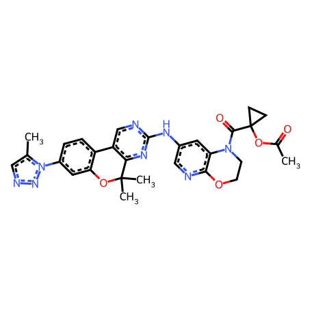 CC(=O)OC1(C(=O)N2CCOc3ncc(Nc4ncc5c(n4)C(C)(C)Oc4cc(-n6nncc6C)ccc4-5)cc32)CC1